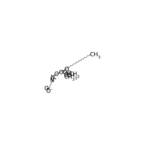 CCCCCCCCCCCCCCCCCCOCC(COCCOCCN1C=C[N+](=CCCCCC(=O)[O-])C1)OCC(C)(OC)OC